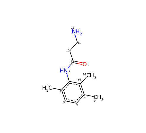 Cc1ccc(C)c(NC(=O)CCN)c1C